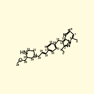 CCc1nn2c(C)cc(C)nc2c1Cc1ccc(C=CCN2CCN[C@H](COC)C2)cc1